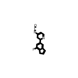 O=C=NC1=CC=NC(c2cc(F)c3c(c2)C=CC3)C1